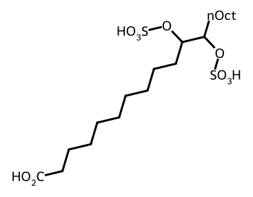 CCCCCCCCC(OS(=O)(=O)O)C(CCCCCCCCCC(=O)O)OS(=O)(=O)O